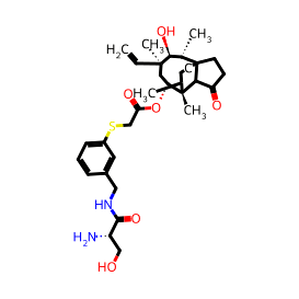 C=C[C@]1(C)C[C@@H](OC(=O)CSc2cccc(CNC(=O)[C@@H](N)CO)c2)[C@]2(C)C(C)CCC3(CCC(=O)C32)[C@@H](C)[C@@H]1O